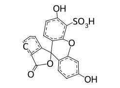 O=C1OC2(c3ccc(O)cc3Oc3c2ccc(O)c3S(=O)(=O)O)c2ccccc21